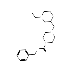 CCN1CCCC(CN2CCN(C(=O)OCc3ccccc3)CC2)C1